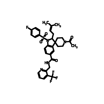 CC(=O)N1CCC2(CC1)c1cc(C(=O)NCc3ncccc3C(F)(F)F)ccc1N(S(=O)(=O)c1ccc(F)cc1)C2CC=C(C)C